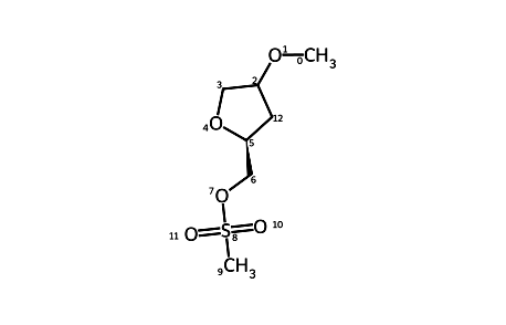 COC1CO[C@H](COS(C)(=O)=O)C1